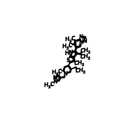 CC[C@H]1CN(Cc2cn(C)nn2)[C@@H](C)C[C@H]1c1sc2[nH]c(-c3cn4ncnc4c(C)c3C)c(C(C)C)c2c1C